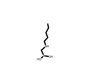 CCCCCNCB(O)O